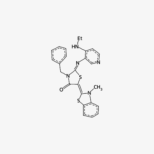 CCNc1ccncc1N=C1SC(=C2Sc3ccccc3N2C)C(=O)N1Cc1ccccc1